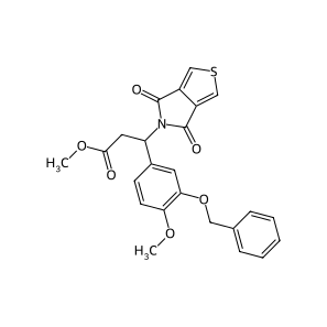 COC(=O)CC(c1ccc(OC)c(OCc2ccccc2)c1)N1C(=O)c2cscc2C1=O